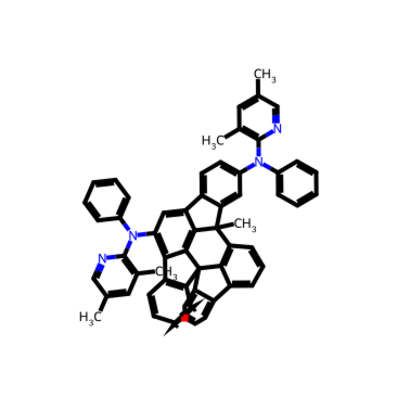 Cc1cnc(N(c2ccccc2)c2ccc3c(c2)C2(C)c4cccc5c4C4(c6ccccc6-5)c5c(c(N(c6ccccc6)c6ncc(C)cc6C)cc-3c52)-c2ccc3ccccc3c24)c(C)c1